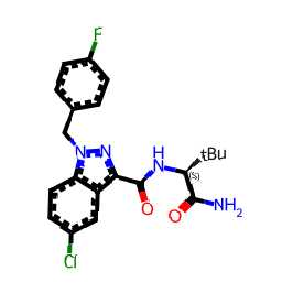 CC(C)(C)[C@H](NC(=O)c1nn(Cc2ccc(F)cc2)c2ccc(Cl)cc12)C(N)=O